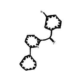 FC(c1cccc(Br)c1)c1cccc(-c2ccccc2)n1